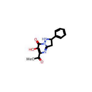 COC(=O)c1nc2n(c(=O)c1O)NC(c1ccccc1)C2